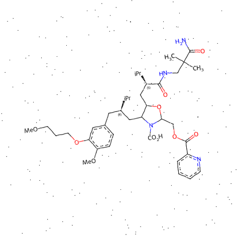 COCCCOc1cc(C[C@H](CC2C(C[C@H](C(=O)NCC(C)(C)C(N)=O)C(C)C)OC(COC(=O)c3ccccn3)N2C(=O)O)C(C)C)ccc1OC